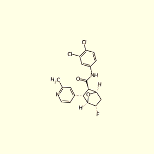 Cc1cc([C@H]2[C@H]3O[C@H](C[C@@H]3F)[C@@H]2C(=O)Nc2ccc(Cl)c(Cl)c2)ccn1